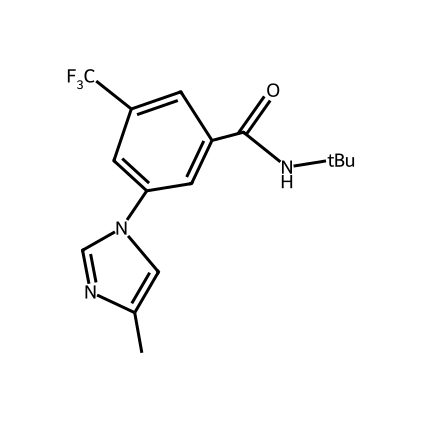 Cc1cn(-c2cc(C(=O)NC(C)(C)C)cc(C(F)(F)F)c2)cn1